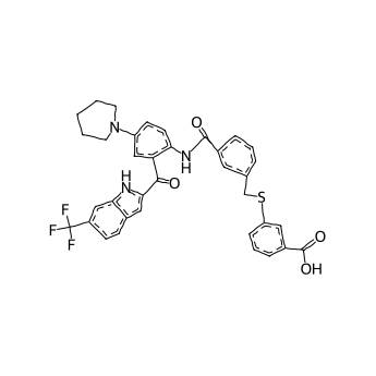 O=C(O)c1cccc(SCc2cccc(C(=O)Nc3ccc(N4CCCCC4)cc3C(=O)c3cc4ccc(C(F)(F)F)cc4[nH]3)c2)c1